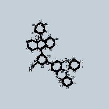 CC12C=CC=CC1C(c1cc(C#N)cc(-c3cc4c5c(c3)Sc3ccccc3B5c3ccccc3S4)c1)=c1ccccc1=C2c1ccccc1